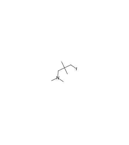 CN(C)CC(C)(C)CI